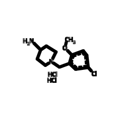 COc1ccc(Cl)cc1CN1CCC(N)CC1.Cl.Cl